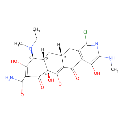 CCN(C)[C@@H]1C(O)=C(C(N)=O)C(=O)[C@@]2(O)C(O)=C3C(=O)c4c(O)c(NC)nc(Cl)c4C[C@H]3C[C@@H]12